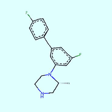 C[C@@H]1CNCCN1c1cc(F)cc(-c2ccc(F)cc2)c1